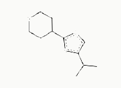 CC(C)c1coc(C2CCNCC2)n1